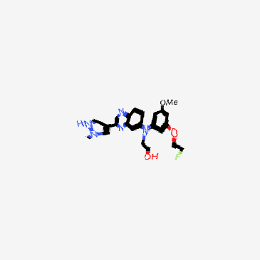 COc1cc(OCCF)cc(N(CCO)c2ccc3ncc(C4=CN(C)NC4)nc3c2)c1